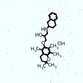 Cc1c(C)c2c(c(C)c1OCC(O)CNC1CCc3ccccc3C1)CCC(C)(C)O2.Cl